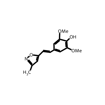 COc1cc(C=Cc2cc(C)no2)cc(OC)c1O